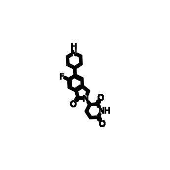 O=C1CCC(N2Cc3cc(C4CCNCC4)c(F)cc3C2=O)C(=O)N1